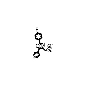 C[S+]([O-])Cc1nc(-c2ccc(F)cc2)oc1-c1ccsc1